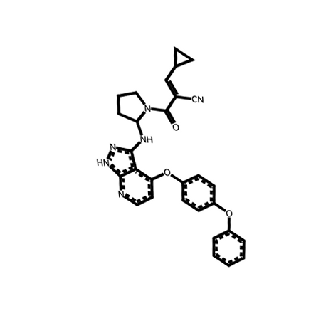 N#CC(=CC1CC1)C(=O)N1CCCC1Nc1n[nH]c2nccc(Oc3ccc(Oc4ccccc4)cc3)c12